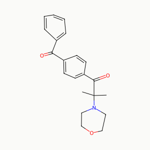 CC(C)(C(=O)c1ccc(C(=O)c2ccccc2)cc1)N1CCOCC1